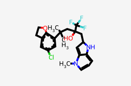 CN1C=CC=C2NC(CC(O)(CC(C)(C)c3cc(Cl)cc4c3OCC4)C(F)(F)F)C=C21